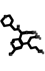 C=C=C(NCC1CCOCC1)c1cnc(Cl)cc1C(CC)CCC